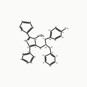 CCCCn1c(-c2ccccc2)nc(-c2ccccc2)c1CN(Cc1ccccc1)Cc1ccc(F)cc1